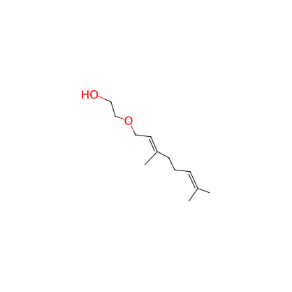 CC(C)=CCC/C(C)=C/COCCO